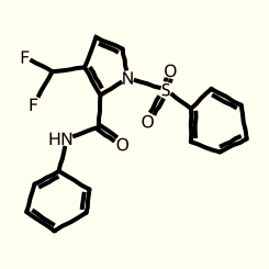 O=C(Nc1ccccc1)c1c(C(F)F)ccn1S(=O)(=O)c1ccccc1